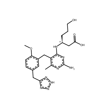 COc1ccc(Cc2nn[nH]n2)cc1Cc1c(C)nc(N)nc1N[C@@H](CCCO)CC(=O)O